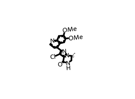 COc1cc2nccc(-c3nn4c(c3Cl)C(=O)NC[C@H]4C)c2cc1OC